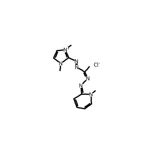 CC(N=Nc1n(C)cc[n+]1C)=NN=c1ccccn1C.[Cl-]